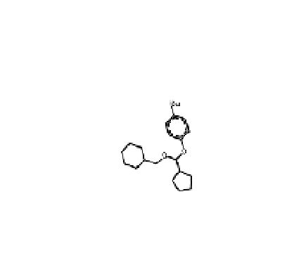 CCC(C)c1ccc(OC(OCC2CCCCC2)C2CCCC2)cc1